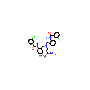 NC(CCN(Cc1ccccc1NC(=O)c1cccc(Cl)c1)Cc1ccccc1NC(=O)c1cccc(Cl)c1)C(=O)O